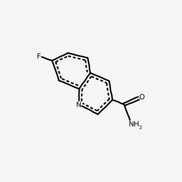 NC(=O)c1cnc2cc(F)ccc2c1